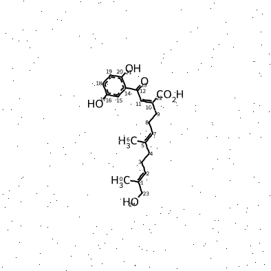 C/C(=C\CC/C(C)=C/CC/C(=C/C(=O)c1cc(O)ccc1O)C(=O)O)CO